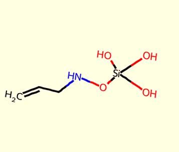 C=CCNO[Si](O)(O)O